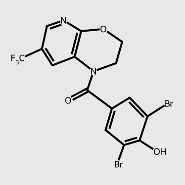 O=C(c1cc(Br)c(O)c(Br)c1)N1CCOc2ncc(C(F)(F)F)cc21